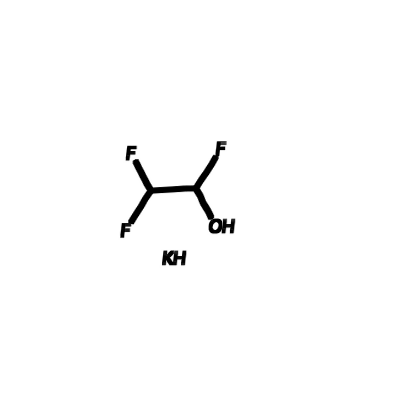 OC(F)C(F)F.[KH]